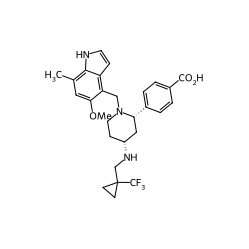 COc1cc(C)c2[nH]ccc2c1CN1CC[C@@H](NCC2(C(F)(F)F)CC2)C[C@H]1c1ccc(C(=O)O)cc1